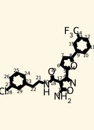 Nc1onc(-c2ccc(-c3cccc(C(F)(F)F)c3)o2)c1C(=O)NCCc1cccc(Cl)c1